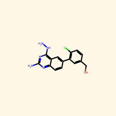 NNc1nc(N)nc2ccc(-c3cc(CO)ccc3Cl)cc12